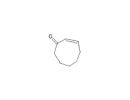 O=C1C=CCCCCC1